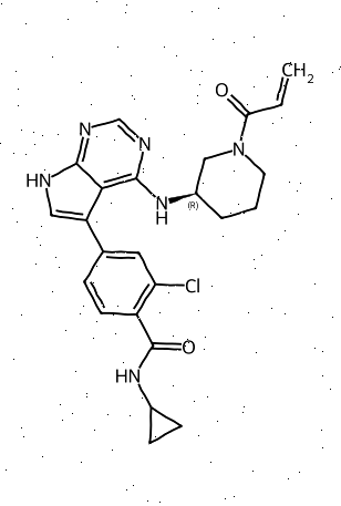 C=CC(=O)N1CCC[C@@H](Nc2ncnc3[nH]cc(-c4ccc(C(=O)NC5CC5)c(Cl)c4)c23)C1